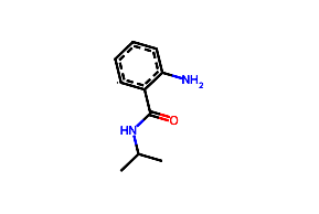 CC(C)NC(=O)c1[c]cccc1N